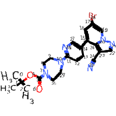 CC(C)(C)OC(=O)N1CCN(c2ccc(-c3cc(Br)cn4ncc(C#N)c34)cn2)CC1